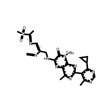 C=N/C(=C\N=C(/C)S(C)(=O)=O)CNc1nc2c(C)nc(-c3c(C)ncnc3C3CC3)nc2n([C@H](C)CC)c1=O